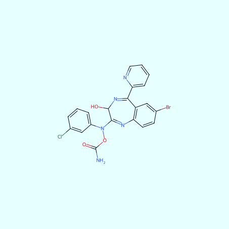 NC(=O)ON(C1=Nc2ccc(Br)cc2C(c2ccccn2)=NC1O)c1cccc(Cl)c1